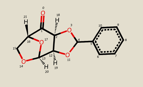 O=C1[C@H]2OC(c3ccccc3)O[C@H]2[C@H]2OC[C@H]1O2